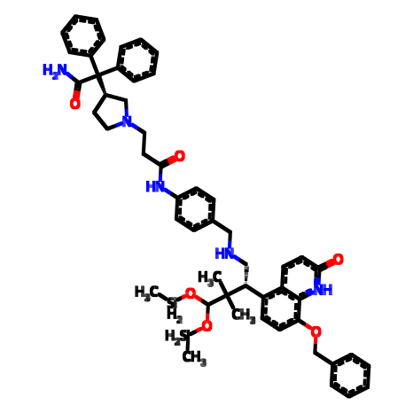 C[SiH2]OC(O[SiH2]C)C(C)(C)[C@H](CNCc1ccc(NC(=O)CCN2CC[C@@H](C(C(N)=O)(c3ccccc3)c3ccccc3)C2)cc1)c1ccc(OCc2ccccc2)c2[nH]c(=O)ccc12